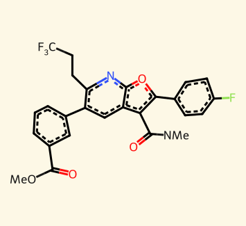 CNC(=O)c1c(-c2ccc(F)cc2)oc2nc(CCC(F)(F)F)c(-c3cccc(C(=O)OC)c3)cc12